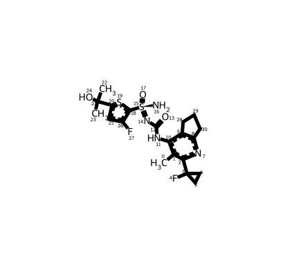 Cc1c(C2(F)CC2)nc2c(c1NC(=O)N=[S@@](N)(=O)c1sc(C(C)(C)O)cc1F)CCC2